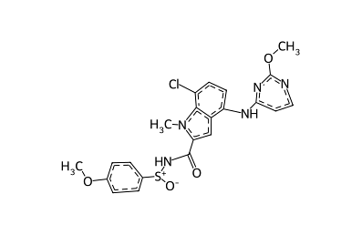 COc1ccc([S+]([O-])NC(=O)c2cc3c(Nc4ccnc(OC)n4)ccc(Cl)c3n2C)cc1